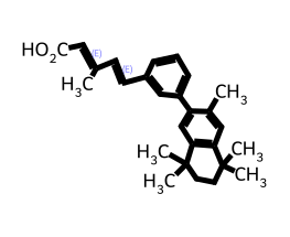 CC(/C=C/c1cccc(-c2cc3c(cc2C)C(C)(C)CCC3(C)C)c1)=C\C(=O)O